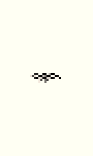 CCCC1CCC(c2ccc(C3CCC(C)CC3)c(F)c2F)CC1